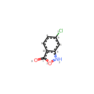 O=c1o[nH]c2cc(Cl)ccc12